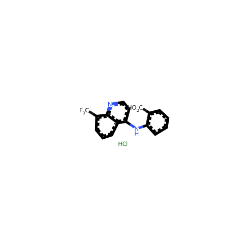 Cl.O=C(O)c1ccccc1Nc1ccnc2c(C(F)(F)F)cccc12